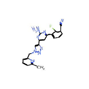 Cc1cccc(Cn2cc(-c3cc(-c4cccc(C#N)c4F)nc(N)n3)nn2)n1